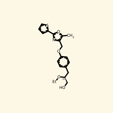 CCO[C@H](CO)Cc1ccc(OCc2nc(-c3cccs3)oc2C)cc1